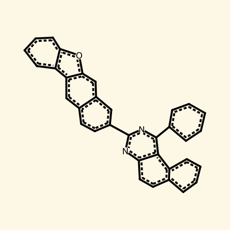 c1ccc(-c2nc(-c3ccc4cc5c(cc4c3)oc3ccccc35)nc3ccc4ccccc4c23)cc1